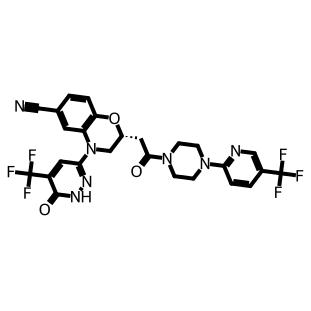 N#Cc1ccc2c(c1)N(c1cc(C(F)(F)F)c(=O)[nH]n1)C[C@@H](CC(=O)N1CCN(c3ccc(C(F)(F)F)cn3)CC1)O2